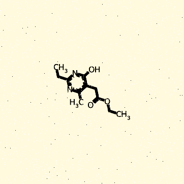 CCOC(=O)Cc1c(C)nc(CC)nc1O